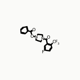 O=C(ON1CCN(C(=O)c2cc(F)ccc2C(F)(F)F)CC1)c1ccccc1